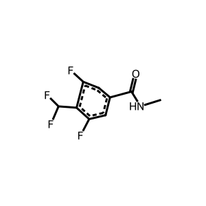 CNC(=O)c1cc(F)c(C(F)F)c(F)c1